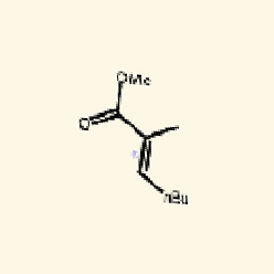 CCCC/C=C(\C)C(=O)OC